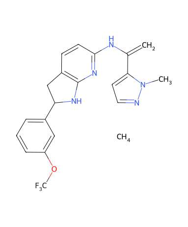 C.C=C(Nc1ccc2c(n1)NC(c1cccc(OC(F)(F)F)c1)C2)c1ccnn1C